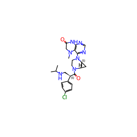 CC(C)NC[C@@H](C(=O)N1CCN(c2ncnc3c2N(C)CC(=O)N3)[C@H]2CC21)c1ccc(Cl)cc1